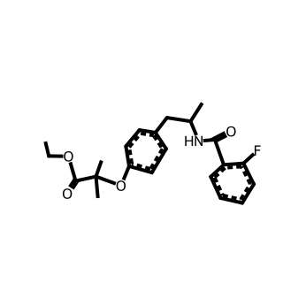 CCOC(=O)C(C)(C)Oc1ccc(CC(C)NC(=O)c2ccccc2F)cc1